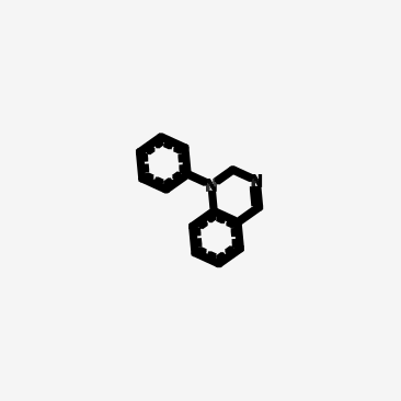 C1=NCN(c2ccccc2)c2ccccc21